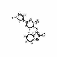 Cn1cc(-c2ccc(Cn3c(=O)sc4ccccc43)c(F)c2)cn1